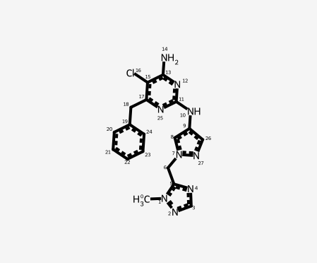 Cn1ncnc1Cn1cc(Nc2nc(N)c(Cl)c(Cc3ccccc3)n2)cn1